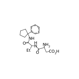 CCC(NC(=O)[C@@H](N)CC(=O)O)C(=O)NC1(c2ccccc2)CCCC1